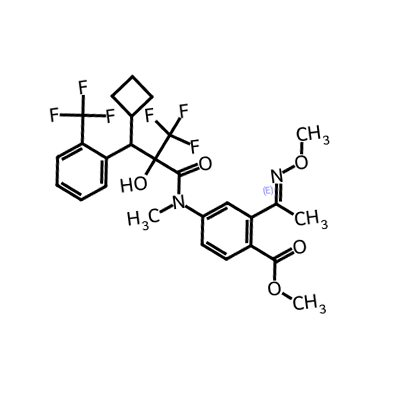 CO/N=C(\C)c1cc(N(C)C(=O)C(O)(C(c2ccccc2C(F)(F)F)C2CCC2)C(F)(F)F)ccc1C(=O)OC